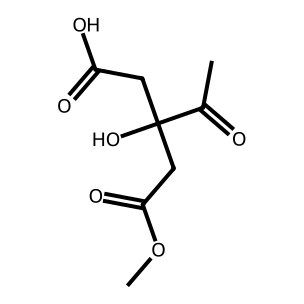 COC(=O)CC(O)(CC(=O)O)C(C)=O